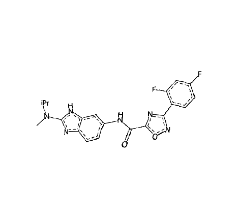 CC(C)N(C)c1nc2ccc(NC(=O)c3nc(-c4ccc(F)cc4F)no3)cc2[nH]1